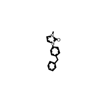 Cn1ccn(-c2ccc(Cc3ccccc3)cc2)c1=O